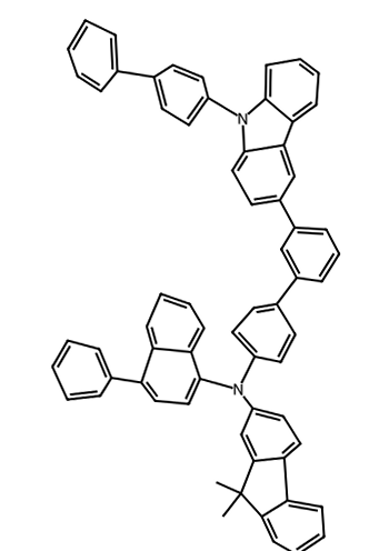 CC1(C)c2ccccc2-c2ccc(N(c3ccc(-c4cccc(-c5ccc6c(c5)c5ccccc5n6-c5ccc(-c6ccccc6)cc5)c4)cc3)c3ccc(-c4ccccc4)c4ccccc34)cc21